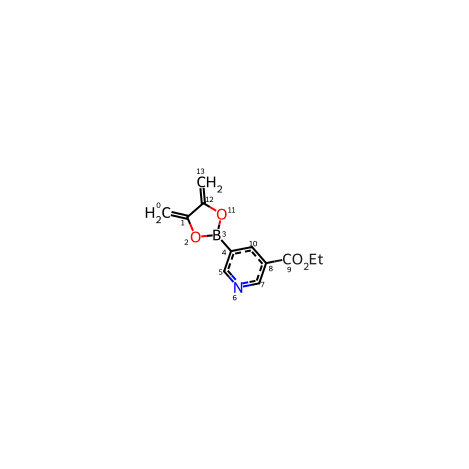 C=C1OB(c2cncc(C(=O)OCC)c2)OC1=C